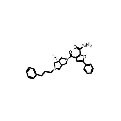 NC(=O)c1oc(-c2ccccc2)cc1C(=O)N1CC2CN(CC[CH]c3ccccc3)C[C@H]2C1